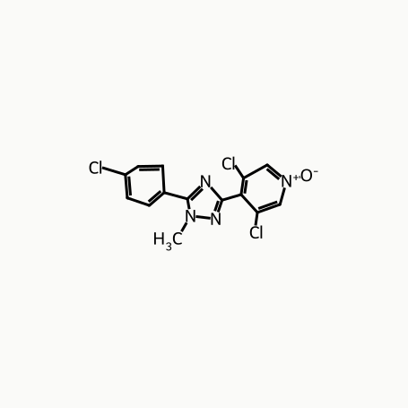 Cn1nc(-c2c(Cl)c[n+]([O-])cc2Cl)nc1-c1ccc(Cl)cc1